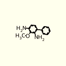 COc1c(N)ccc(-c2ccccc2)c1N